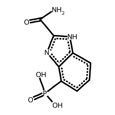 NC(=O)c1nc2c(P(=O)(O)O)cccc2[nH]1